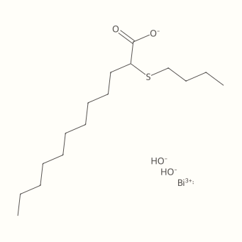 CCCCCCCCCCC(SCCCC)C(=O)[O-].[Bi+3].[OH-].[OH-]